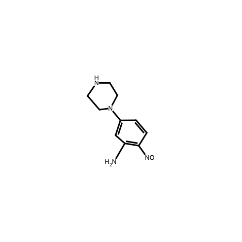 Nc1cc(N2CCNCC2)ccc1N=O